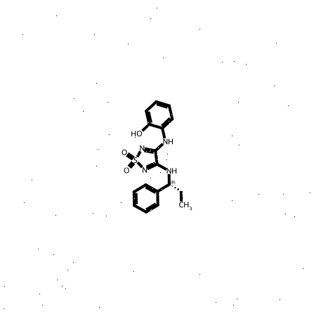 CC[C@@H](NC1=NS(=O)(=O)N=C1Nc1ccccc1O)c1ccccc1